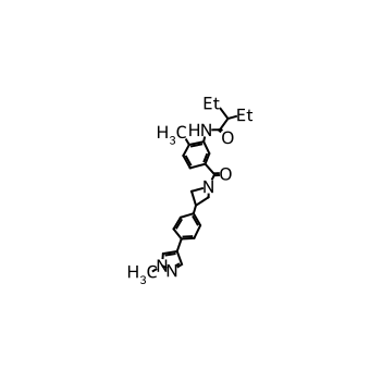 CCC(CC)C(=O)Nc1cc(C(=O)N2CC(c3ccc(-c4cnn(C)c4)cc3)C2)ccc1C